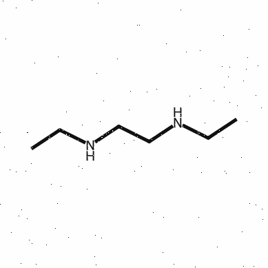 CCNCCNCC